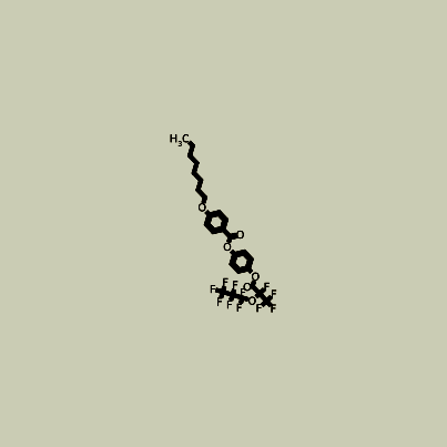 CCCCCCCCOc1ccc(C(=O)Oc2ccc(OC(=O)C(F)(OC(F)(F)C(F)(F)C(F)(F)F)C(F)(F)F)cc2)cc1